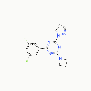 Fc1cc(F)cc(-c2nc(N3CCC3)nc(-n3cccn3)n2)c1